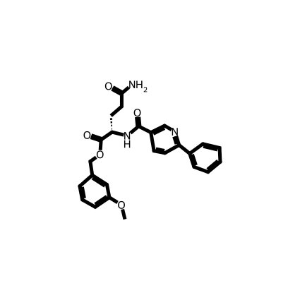 COc1cccc(COC(=O)[C@H](CCC(N)=O)NC(=O)c2ccc(-c3ccccc3)nc2)c1